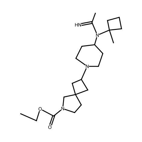 CCOC(=O)N1CCC2(CC(N3CCC(N(C(C)=N)C4(C)CCC4)CC3)C2)C1